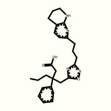 CCCC(CC(=O)O)(Cc1nc(CCCc2ccc3c(n2)NCCC3)no1)c1ccccc1